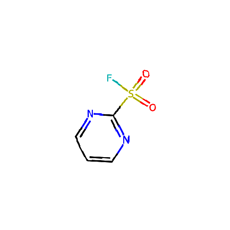 O=S(=O)(F)c1ncccn1